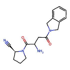 N#C[C@@H]1CCCN1C(=O)C(N)CC(=O)N1Cc2ccccc2C1